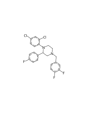 Fc1ccc(C2CN(Cc3ccc(F)c(F)c3)CCN2c2ccc(Cl)cc2Cl)cc1